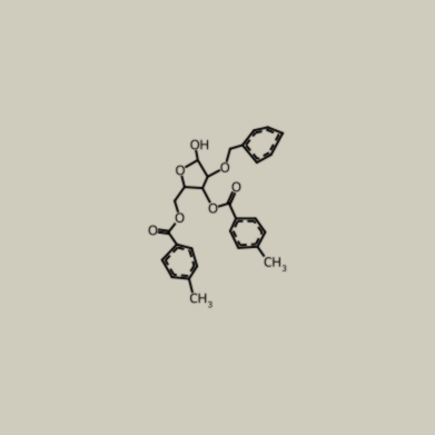 Cc1ccc(C(=O)OCC2OC(O)C(OCc3ccccc3)C2OC(=O)c2ccc(C)cc2)cc1